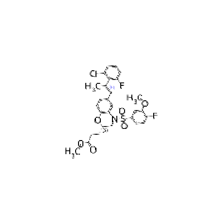 COC(=O)CC[C@H]1CN(S(=O)(=O)c2ccc(F)c(OC)c2)c2cc(/C=C(\C)c3c(F)cccc3Cl)ccc2O1